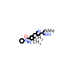 CN/C=C(\C=N)c1ccc(Cc2cc3c(=O)n(C4CCCCC4)cnc3c(C)c2C)cn1